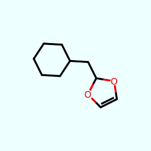 C1=COC(CC2CCCCC2)O1